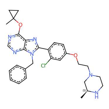 C[C@H]1CN(CCOc2ccc(-c3nc4c(OC5(C)CC5)ncnc4n3Cc3ccccc3)c(Cl)c2)CCN1